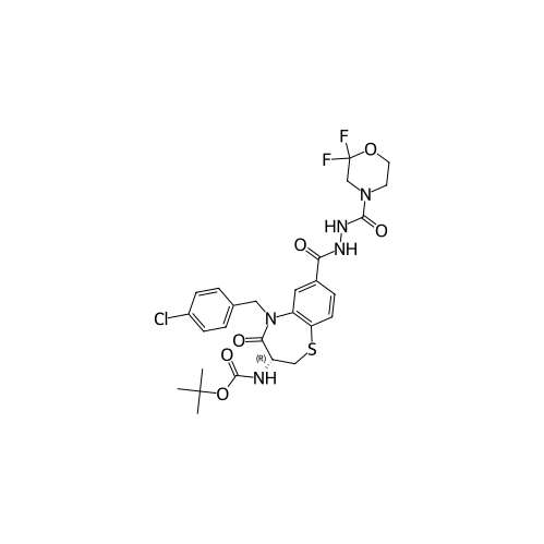 CC(C)(C)OC(=O)N[C@H]1CSc2ccc(C(=O)NNC(=O)N3CCOC(F)(F)C3)cc2N(Cc2ccc(Cl)cc2)C1=O